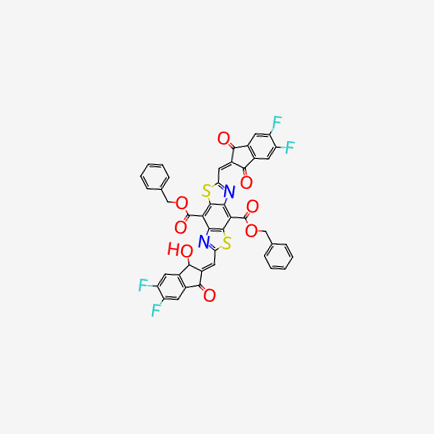 O=C1C(=Cc2nc3c(C(=O)OCc4ccccc4)c4sc(/C=C5/C(=O)c6cc(F)c(F)cc6C5O)nc4c(C(=O)OCc4ccccc4)c3s2)C(=O)c2cc(F)c(F)cc21